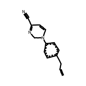 C=CCc1ccc(N2C=CC(C#N)=NC2)cc1